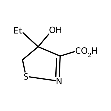 CCC1(O)CSN=C1C(=O)O